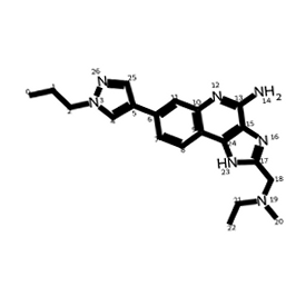 CCCn1cc(-c2ccc3c(c2)nc(N)c2nc(CN(C)CC)[nH]c23)cn1